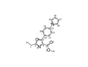 CCc1nc(C(=O)OC)c(-c2ccc(-n3cccc3)cc2)o1